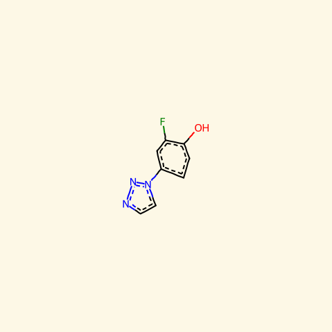 Oc1ccc(-n2ccnn2)cc1F